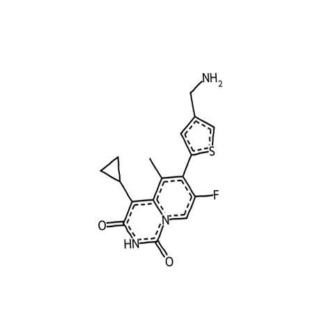 Cc1c(-c2cc(CN)cs2)c(F)cn2c(=O)[nH]c(=O)c(C3CC3)c12